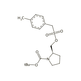 Cc1ccc(CS(=O)(=O)OC[C@H]2CCCN2C(=O)OC(C)(C)C)cc1